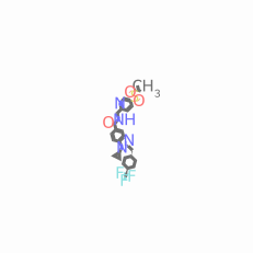 CCS(=O)(=O)c1ccc(CNC(=O)c2ccc3c(c2)nc(C[C@H]2CC[C@H](C(F)(F)F)CC2)n3C2CC2)nc1